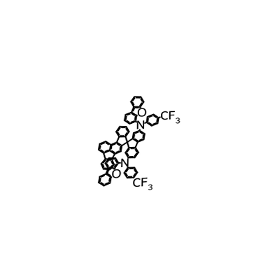 FC(F)(F)c1ccc(N(c2ccc3c(c2)C2(c4cc(N(c5ccc(C(F)(F)F)cc5)c5cccc6c5oc5ccccc56)ccc4-3)c3ccccc3-c3c2cc2c4c(cccc34)-c3ccccc3-2)c2cccc3c2oc2ccccc23)cc1